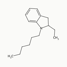 CCCCCCN1[C](CC)Cc2ccccc21